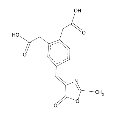 CC1=N/C(=C\c2ccc(CC(=O)O)c(CC(=O)O)c2)C(=O)O1